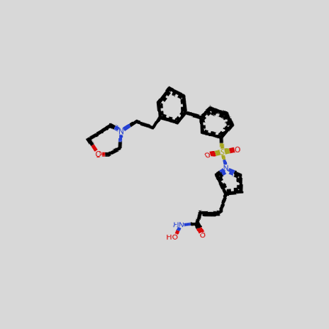 O=C(C=Cc1ccn(S(=O)(=O)c2cccc(-c3cccc(CCN4CCOCC4)c3)c2)c1)NO